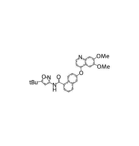 COc1cc2nccc(Oc3ccc4c(C(=O)Nc5cc(C(C)(C)C)on5)cccc4c3)c2cc1OC